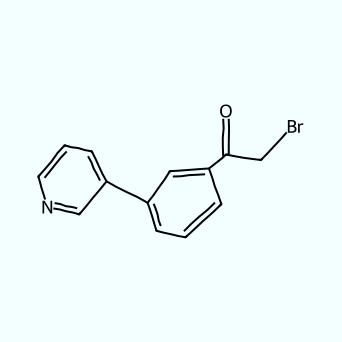 O=C(CBr)c1cccc(-c2cccnc2)c1